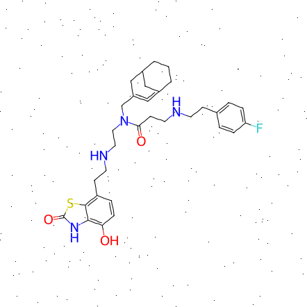 O=C(CCNCCc1ccc(F)cc1)N(CCNCCc1ccc(O)c2[nH]c(=O)sc12)CC1=C=C2CCCC(C2)C1